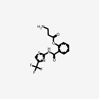 NCCC(=O)Oc1ccccc1C(=O)Nc1nc(C(F)(F)F)cs1